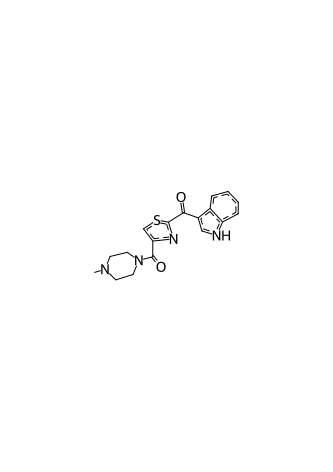 CN1CCN(C(=O)c2csc(C(=O)c3c[nH]c4ccccc34)n2)CC1